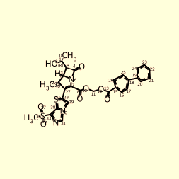 C[C@@H](O)[C@H]1C(=O)N2C(C(=O)OCOC(=O)c3ccc(-c4ccccc4)cc3)=C(c3cn4cnc(S(C)(=O)=O)c4s3)[C@H](C)[C@H]12